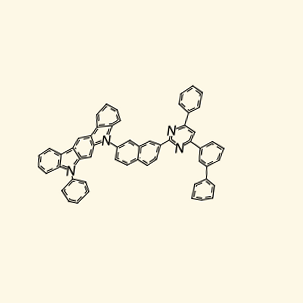 c1ccc(-c2cccc(-c3cc(-c4ccccc4)nc(-c4ccc5ccc(-n6c7ccccc7c7cc8c9ccccc9n(-c9ccccc9)c8cc76)cc5c4)n3)c2)cc1